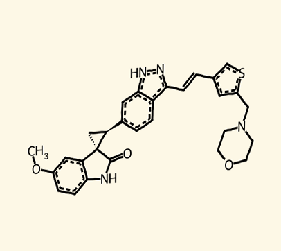 COc1ccc2c(c1)[C@]1(C[C@H]1c1ccc3c(C=Cc4csc(CN5CCOCC5)c4)n[nH]c3c1)C(=O)N2